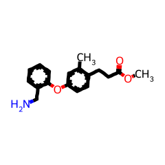 COC(=O)CCc1ccc(Oc2ccccc2CN)cc1C